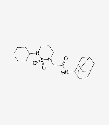 O=C(CN1CCCN(C2CCCCC2)S1(=O)=O)NC1C2CC3CC(C2)CC1C3